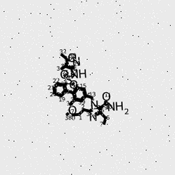 CCCc1nc(CC)c(C(N)=O)n1Cc1ccc(-c2ccccc2S(=O)(=O)Nc2noc(C)c2C)c(COC)c1